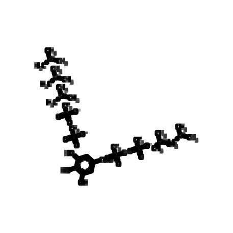 C[O+](C)C.C[O+](C)C.C[O+](C)C.C[O+](C)C.C[O+](C)C.O=C([O-])c1cc(O)c(O)c(O)c1.O=S(=O)([O-])C(F)(F)F.O=S(=O)([O-])C(F)(F)F.O=S(=O)([O-])C(F)(F)F.O=S(=O)([O-])C(F)(F)F